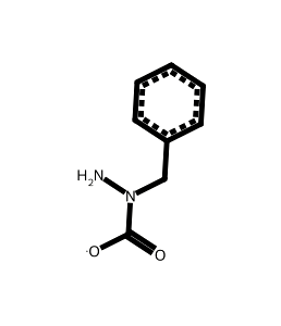 NN(Cc1ccccc1)C([O])=O